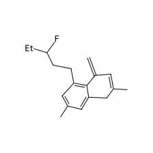 C=C1C=C(C)Cc2cc(C)cc(CCC(F)CC)c21